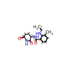 C=CNc1c(C)cccc1C(=O)NC1CCC(=O)NC1=O